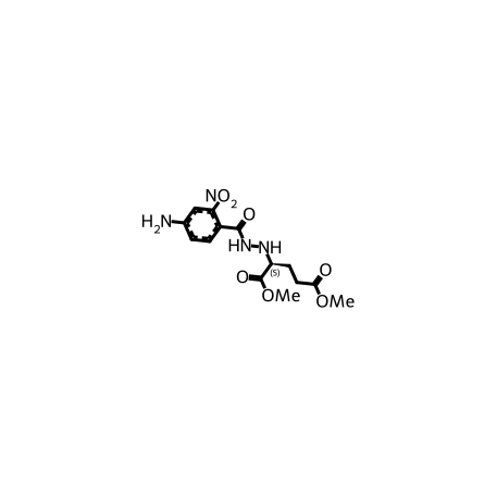 COC(=O)CC[C@H](NNC(=O)c1ccc(N)cc1[N+](=O)[O-])C(=O)OC